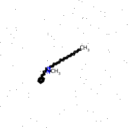 CCCCCCCCCCCCCCCCCCCn1cc(CCCc2ccccc2)nc1C